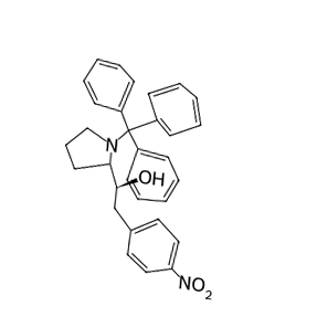 O=[N+]([O-])c1ccc(C[C@H](O)C2CCCN2C(c2ccccc2)(c2ccccc2)c2ccccc2)cc1